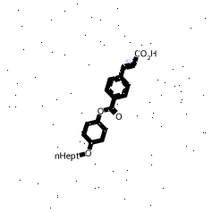 CCCCCCCOC1CCC(OC(=O)c2ccc(/C=C/C(=O)O)cc2)CC1